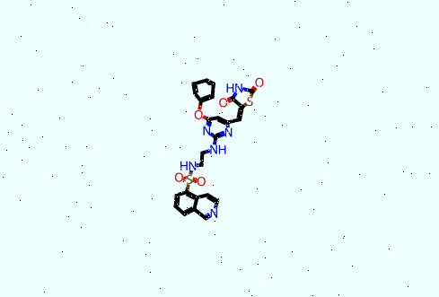 O=C1NC(=O)/C(=C\c2cc(Oc3ccccc3)nc(NCCNS(=O)(=O)c3cccc4cnccc34)n2)S1